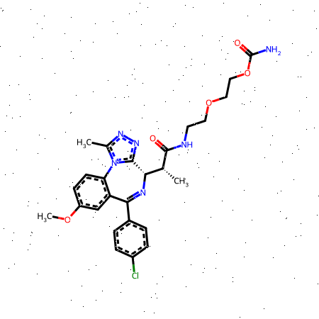 COc1ccc2c(c1)C(c1ccc(Cl)cc1)=N[C@@H]([C@@H](C)C(=O)NCCOCCOC(N)=O)c1nnc(C)n1-2